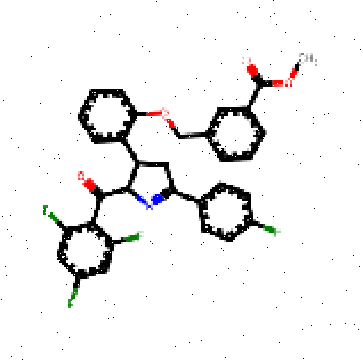 COC(=O)c1cccc(COc2ccccc2C2CC(c3ccc(F)cc3)=NC2C(=O)c2c(F)cc(F)cc2F)c1